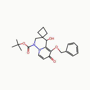 CC(C)(C)OC(=O)N1CC2(CCC2)C(O)c2c(OCc3ccccc3)c(=O)ccn21